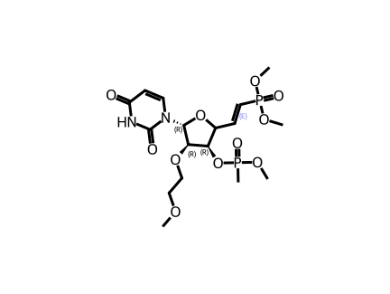 COCCO[C@@H]1[C@H](OP(C)(=O)OC)C(/C=C/P(=O)(OC)OC)O[C@H]1n1ccc(=O)[nH]c1=O